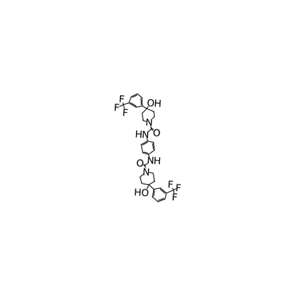 O=C(Nc1ccc(NC(=O)N2CCC(O)(c3cccc(C(F)(F)F)c3)CC2)cc1)N1CCC(O)(c2cccc(C(F)(F)F)c2)CC1